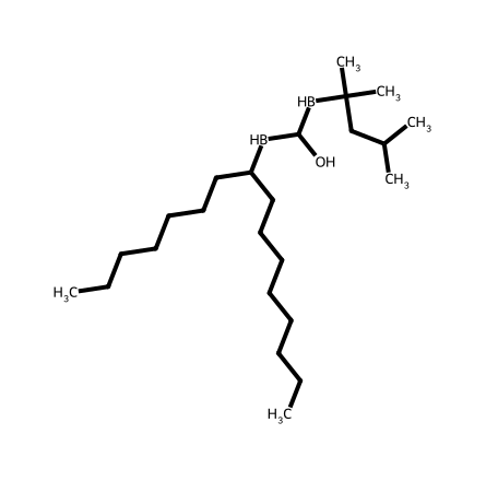 CCCCCCCCC(BC(O)BC(C)(C)CC(C)C)CCCCCCC